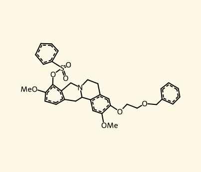 COc1cc2c(cc1OCCOCc1ccccc1)CCN1Cc3c(ccc(OC)c3OS(=O)(=O)c3ccccc3)CC21